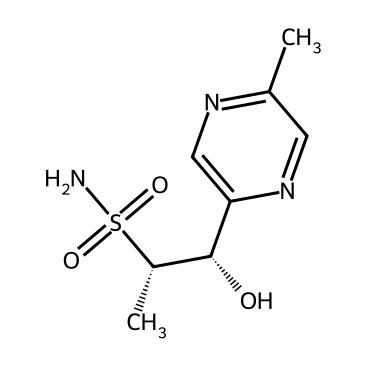 Cc1cnc([C@H](O)[C@H](C)S(N)(=O)=O)cn1